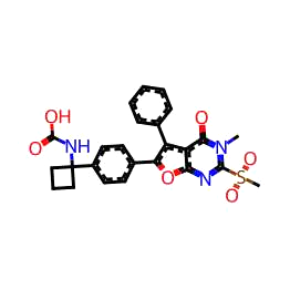 Cn1c(S(C)(=O)=O)nc2oc(-c3ccc(C4(NC(=O)O)CCC4)cc3)c(-c3ccccc3)c2c1=O